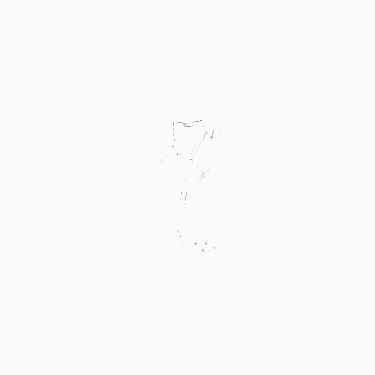 COCC/N=C/c1nccn1C